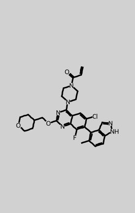 C=CC(=O)N1CCN(c2nc(OCC3CCOCC3)nc3c(F)c(-c4c(C)ccc5[nH]ncc45)c(Cl)cc23)CC1